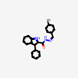 CC(C)c1ccc(/C=N\NC(=O)c2[nH]c3ccccc3c2-c2ccccc2)cc1